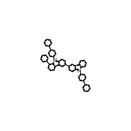 c1ccc(-c2ccc(-n3c4ccccc4c4cc(-c5ccc6c(c5)c5cccc(-c7ccccc7)c5n6-c5ccc(-c6ccccc6)cc5)ccc43)cc2)cc1